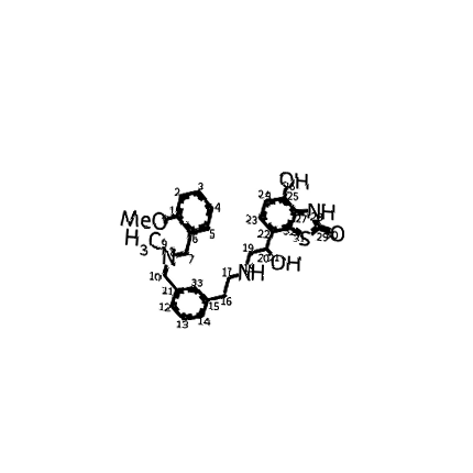 COc1ccccc1CN(C)Cc1cccc(CCNCC(O)c2ccc(O)c3[nH]c(=O)sc23)c1